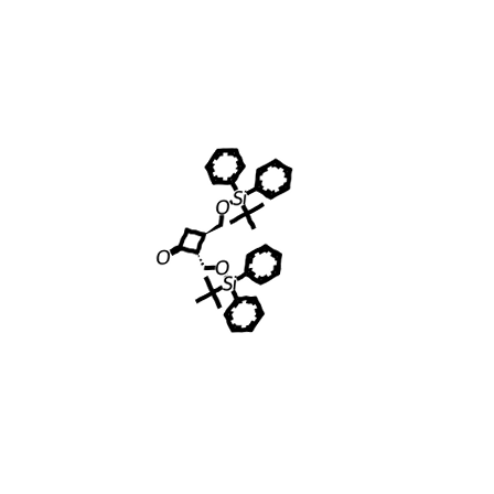 CC(C)(C)[Si](OC[C@@H]1CC(=O)[C@H]1CO[Si](c1ccccc1)(c1ccccc1)C(C)(C)C)(c1ccccc1)c1ccccc1